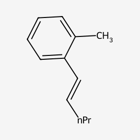 CCC/C=C/c1ccccc1C